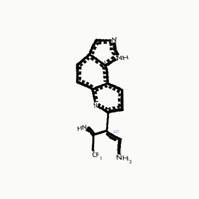 N=C(/C(=C\N)c1ccc2c(ccc3cn[nH]c32)n1)C(F)(F)F